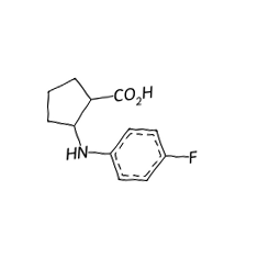 O=C(O)C1CCCC1Nc1ccc(F)cc1